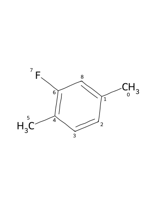 Cc1ccc(C)c(F)c1